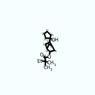 CCC(C)(C)C(=O)OC1CC2CC1CC2C1(O)CCCC1